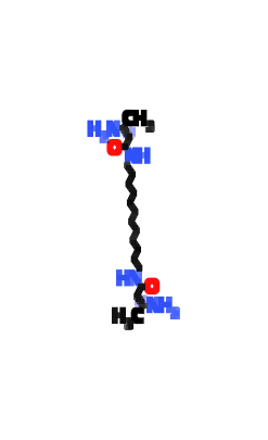 C/C(N)=C/C(=O)NCCCCCCCCCCCCNC(=O)/C=C(/C)N